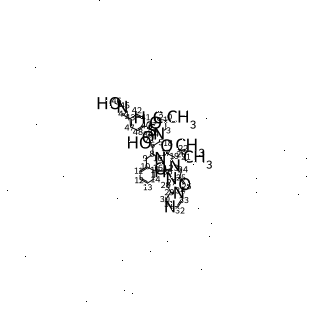 CC(C)CN(C[C@@H](O)[C@H](Cc1ccccc1)NC(=O)[C@H](C(C)C)N1CC(=O)N(Cc2cnccn2)C1=O)S(=O)(=O)c1ccc(C=NO)cc1